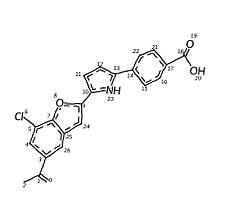 C=C(C)c1cc(Cl)c2oc(-c3ccc(-c4ccc(C(=O)O)cc4)[nH]3)cc2c1